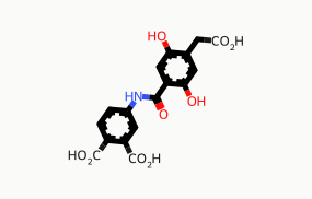 O=C(O)Cc1cc(O)c(C(=O)Nc2ccc(C(=O)O)c(C(=O)O)c2)cc1O